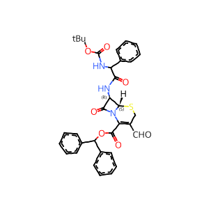 CC(C)(C)OC(=O)NC(C(=O)N[C@@H]1C(=O)N2C(C(=O)OC(c3ccccc3)c3ccccc3)=C(C=O)CS[C@@H]12)c1ccccc1